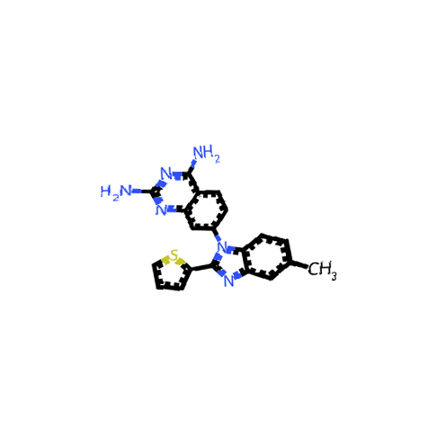 Cc1ccc2c(c1)nc(-c1cccs1)n2-c1ccc2c(N)nc(N)nc2c1